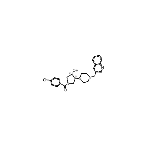 O=C(c1ccc(Cl)cc1)N1C[C@H](O)[C@@H](N2CCN(Cc3cnc4ccccc4c3)CC2)C1